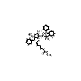 COC(=O)CCC/C=C\C[C@@H]1[C@@H](CO[Si](c2ccccc2)(c2ccccc2)C(C)(C)C)[C@H](O)C[C@@]1(CO)Cc1ccccc1